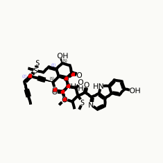 CC#C/C=C\C#C[C@H](OC1OC(C)C(SC)(C(=O)c2nccc3c2[nH]c2ccc(O)cc23)C(O)C1OC)C1=C(NC(=O)OC)C(=O)C[C@H](O)/C1=C/CS(C)(=S)=S